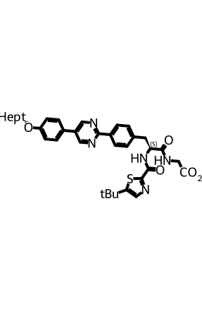 CCCCCCCOc1ccc(-c2cnc(-c3ccc(C[C@H](NC(=O)c4ncc(C(C)(C)C)s4)C(=O)NCC(=O)O)cc3)nc2)cc1